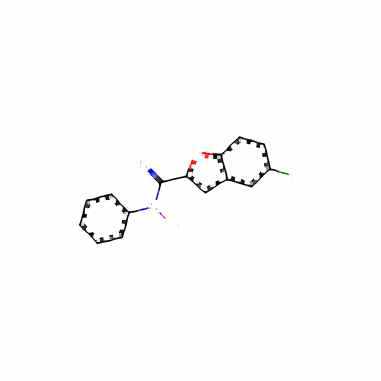 N=C(c1cc2cc(Cl)ccc2o1)N(O)c1ccccc1